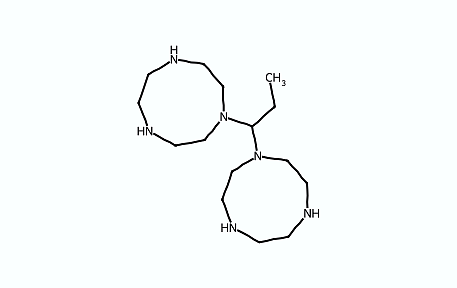 CCC(N1CCNCCNCC1)N1CCNCCNCC1